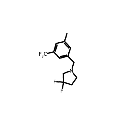 Cc1cc(CN2CCC(F)(F)C2)cc(C(F)(F)F)c1